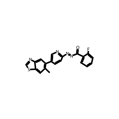 Cc1cc2scnc2cc1-c1ccc(N=NC(=O)c2ccccc2F)nc1